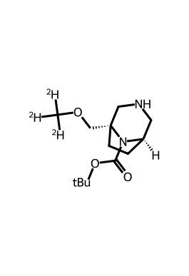 [2H]C([2H])([2H])OC[C@]12CC[C@H](CNC1)N2C(=O)OC(C)(C)C